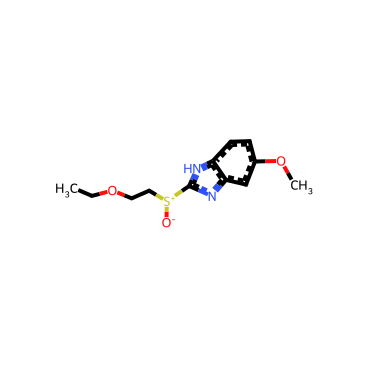 CCOCC[S+]([O-])c1nc2cc(OC)ccc2[nH]1